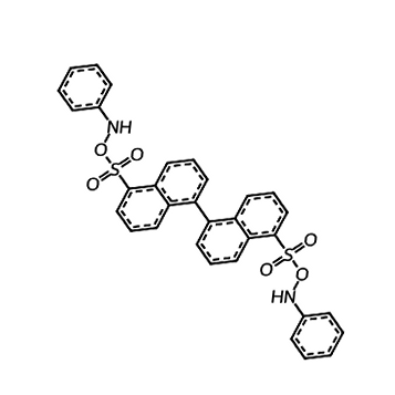 O=S(=O)(ONc1ccccc1)c1cccc2c(-c3cccc4c(S(=O)(=O)ONc5ccccc5)cccc34)cccc12